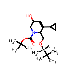 CC(C)(C)OC(=O)N1CC(O)C=C(C2CC2)C1CO[Si](C)(C)C(C)(C)C